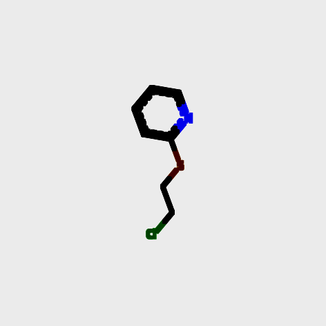 ClCCSc1ccccn1